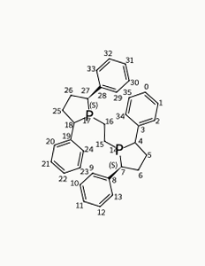 c1ccc(C2CC[C@@H](c3ccccc3)P2CCP2C(c3ccccc3)CC[C@H]2c2ccccc2)cc1